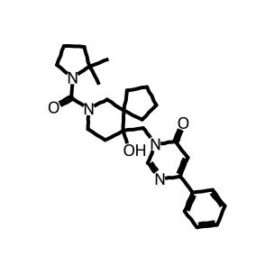 CC1(C)CCCN1C(=O)N1CCC(O)(Cn2cnc(-c3ccccc3)cc2=O)C2(CCCC2)C1